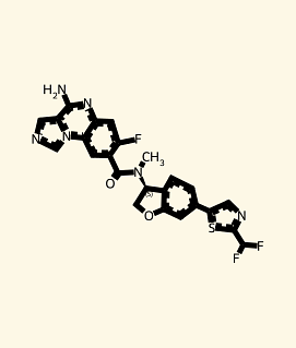 CN(C(=O)c1cc2c(cc1F)nc(N)c1cncn12)[C@@H]1COc2cc(-c3cnc(C(F)F)s3)ccc21